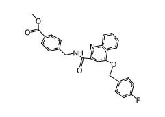 COC(=O)c1ccc(CNC(=O)c2cc(OCc3ccc(F)cc3)c3ccccc3n2)cc1